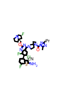 Cc1nc(C(C)C)nn1C(=O)N1CCC12CCN(c1nc(OC[C@@]34CCCN3C[C@H](F)C4)nc3c(F)c(-c4ccc(F)c5sc(N)c(C#N)c45)c(Cl)cc13)C2